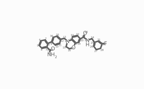 NC(=O)c1ccccc1-c1ccc(CN2CCOc3cc(C(=O)NCC4=CCCC(F)=C4)ccc32)cc1